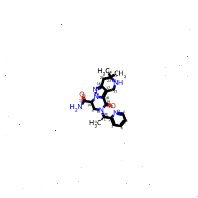 C[C@H](c1ccccn1)N1CC(C(N)=O)n2nc3c(c2C1=O)CNC(C)(C)C3